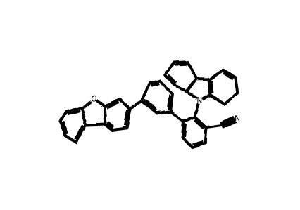 N#Cc1cccc(-c2cccc(-c3ccc4c(c3)oc3ccccc34)c2)c1N1C2=C(C=CCC2)C2C=CC=CC21